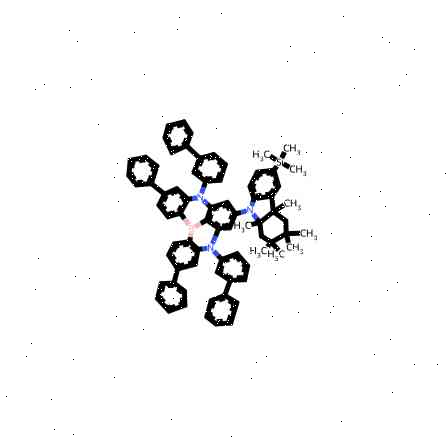 CC1(C)CC2(C)c3cc([Si](C)(C)C)ccc3N(c3cc4c5c(c3)N(c3cccc(-c6ccccc6)c3)c3cc(-c6ccccc6)ccc3B5c3ccc(-c5ccccc5)cc3N4c3cccc(-c4ccccc4)c3)C2(C)CC1(C)C